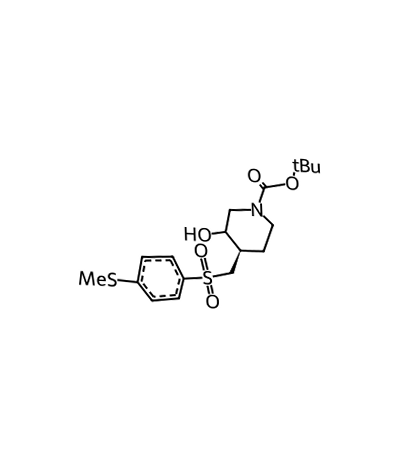 CSc1ccc(S(=O)(=O)C[C@@H]2CCN(C(=O)OC(C)(C)C)CC2O)cc1